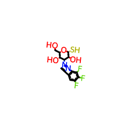 OCC1O[C@H](S)C(O)[C@@H](n2cc3n2-c2c-3cc(F)c(F)c2F)[C@H]1O